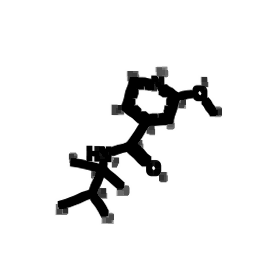 COc1cc(C(=O)NC(C)(C)C(C)C)ccn1